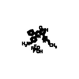 CCCn1cc(-c2c[nH]c(=O)c3cc(-c4ccccc4)c(-c4ccc(CN)cc4)nc23)cn1.O=C(O)C(F)(F)F